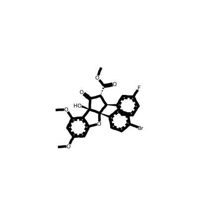 COC(=O)[C@H]1C(=O)[C@@]2(O)c3c(OC)cc(OC)cc3O[C@@]2(c2ccc(Br)cc2)[C@@H]1c1cccc(F)c1